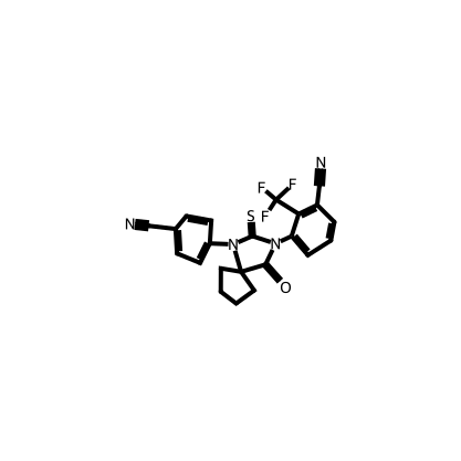 N#Cc1ccc(N2C(=S)N(c3cccc(C#N)c3C(F)(F)F)C(=O)C23CCCC3)cc1